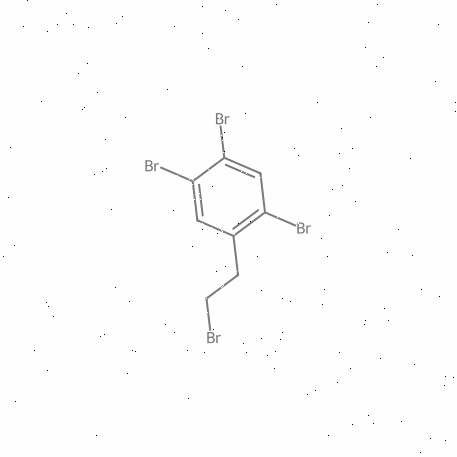 BrCCc1cc(Br)c(Br)cc1Br